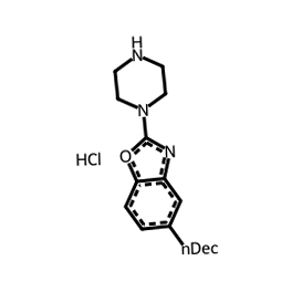 CCCCCCCCCCc1ccc2oc(N3CCNCC3)nc2c1.Cl